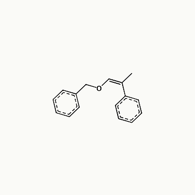 CC(=COCc1ccccc1)c1ccccc1